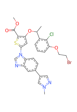 COC(=O)c1sc(-n2cnc3cc(-c4cnn(C)c4)ccc32)cc1OC(C)c1cccc(OCCBr)c1Cl